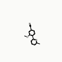 COc1cc(C#N)ccc1-c1cccc(C)n1